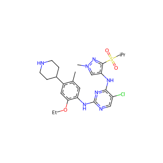 CCOc1cc(C2CCNCC2)c(C)cc1Nc1ncc(Cl)c(Nc2cn(C)nc2S(=O)(=O)C(C)C)n1